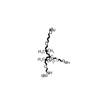 CC(C)(CCOCCCCOC(C)(C)C)CCC(C)(CC(C)(C)CCOCCNC(C)(C)C)OCCOCCOC(C)(C)C